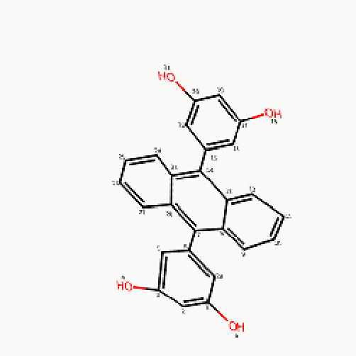 Oc1cc(O)cc(-c2c3ccccc3c(-c3cc(O)cc(O)c3)c3ccccc23)c1